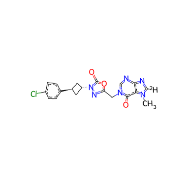 [2H]c1nc2ncn(Cc3nn([C@H]4C[C@H](c5ccc(Cl)cc5)C4)c(=O)o3)c(=O)c2n1C